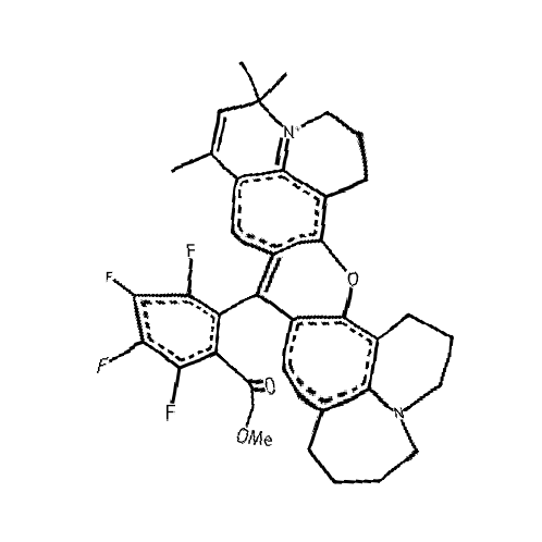 COC(=O)c1c(F)c(F)c(F)c(F)c1C1=c2cc3c4c(c2Oc2c1cc1c5c2CCCN5CCCC1)CCC[N+]=4C(C)(C)C=C3C